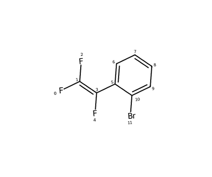 FC(F)=C(F)c1ccccc1Br